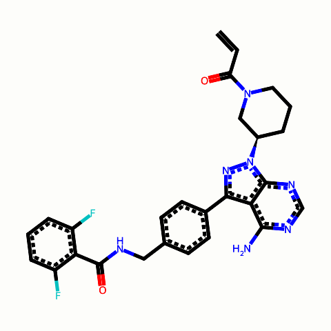 C=CC(=O)N1CCC[C@@H](n2nc(-c3ccc(CNC(=O)c4c(F)cccc4F)cc3)c3c(N)ncnc32)C1